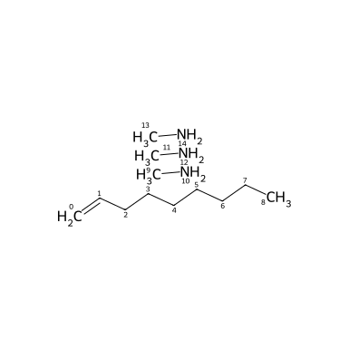 C=CCCCCCCC.CN.CN.CN